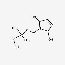 COC(C)(C)OCN1C(O)C=CC1O